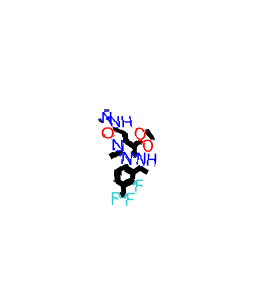 Cc1nc(CC(=O)NN(C)C)c(C2OCCO2)c(NC(C)c2cccc(C(F)F)c2F)n1